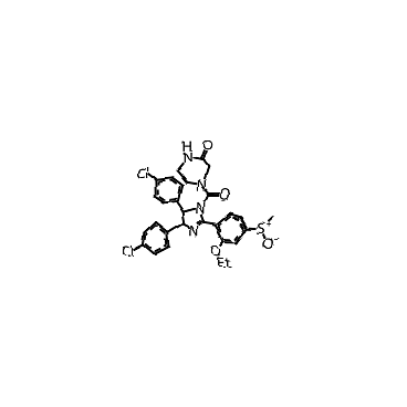 CCOc1cc([S+](C)[O-])ccc1C1=NC(c2ccc(Cl)cc2)C(c2ccc(Cl)cc2)N1C(=O)N1CCNC(=O)C1